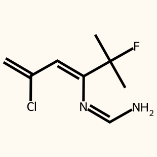 C=C(Cl)/C=C(\N=C/N)C(C)(C)F